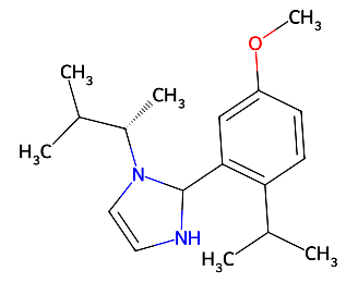 COc1ccc(C(C)C)c(C2NC=CN2[C@@H](C)C(C)C)c1